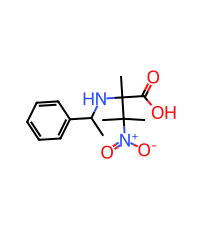 CC(NC(C)(C(=O)O)C(C)(C)[N+](=O)[O-])c1ccccc1